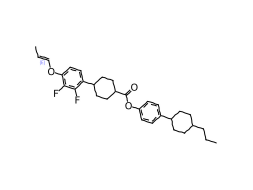 C/C=C/Oc1ccc(C2CCC(C(=O)Oc3ccc(C4CCC(CCC)CC4)cc3)CC2)c(F)c1F